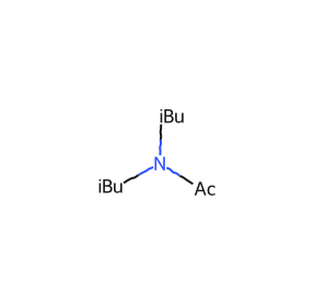 [CH2]C(=O)N(C(C)CC)C(C)CC